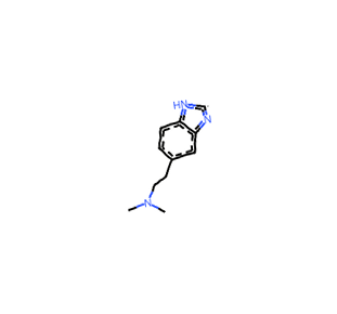 CN(C)CCc1ccc2[nH][c]nc2c1